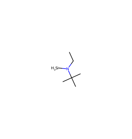 CCN([SiH3])C(C)(C)C